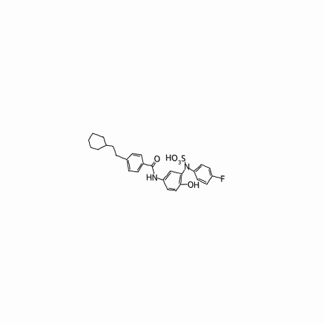 O=C(Nc1ccc(O)c(N(c2ccc(F)cc2)S(=O)(=O)O)c1)c1ccc(CCC2CCCCC2)cc1